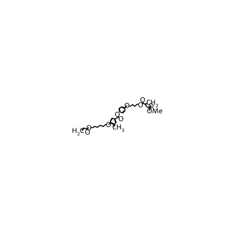 C=CC(=O)OCCCCCCOc1ccc(C(=O)Oc2ccc(OCCCCOC(=O)C(=C)CC(=O)OC)cc2)cc1C